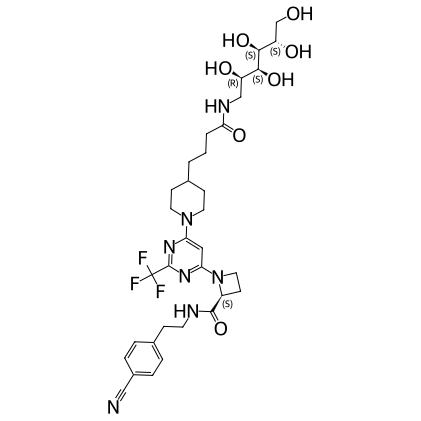 N#Cc1ccc(CCNC(=O)[C@@H]2CCN2c2cc(N3CCC(CCCC(=O)NC[C@@H](O)[C@H](O)[C@@H](O)[C@@H](O)CO)CC3)nc(C(F)(F)F)n2)cc1